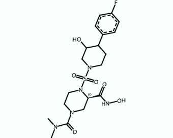 CN(C)C(=O)N1CCN(S(=O)(=O)N2CCC(c3ccc(F)cc3)C(O)C2)[C@@H](C(=O)NO)C1